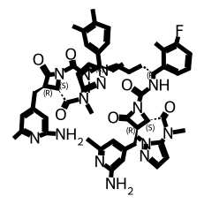 CC[C@@H](NC(=O)N1C(=O)[C@H](Cc2cc(C)nc(N)c2)[C@H]1C(=O)N(C)c1ccn(CCC[C@@H](NC(=O)N2C(=O)[C@H](Cc3cc(C)nc(N)c3)[C@H]2C(=O)N(C)c2ccnn2C)c2cccc(F)c2C)n1)c1ccc(C)c(C)c1